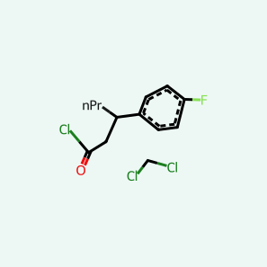 CCCC(CC(=O)Cl)c1ccc(F)cc1.ClCCl